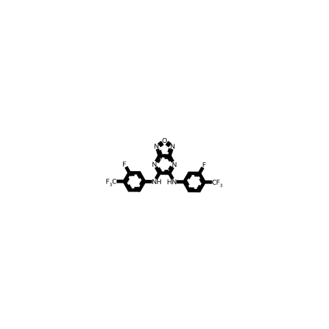 Fc1cc(Nc2nc3nonc3nc2Nc2ccc(C(F)(F)F)c(F)c2)ccc1C(F)(F)F